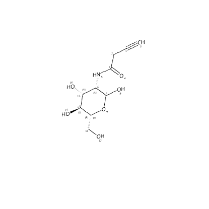 C#CCC(=O)N[C@@H]1C(O)O[C@H](CO)[C@@H](O)[C@@H]1O